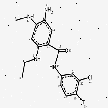 CCNc1cc(NC)c(N)cc1C(=O)Nc1ccc(F)c(Cl)c1